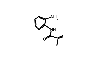 C=C(C)C(=O)Nc1ccccc1N